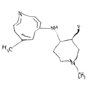 Cc1cncc(NC2CCN(C)C[C@@H]2F)c1